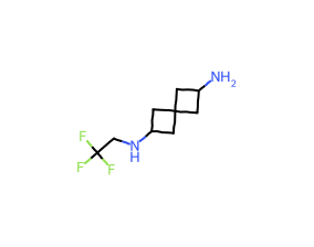 NC1CC2(C1)CC(NCC(F)(F)F)C2